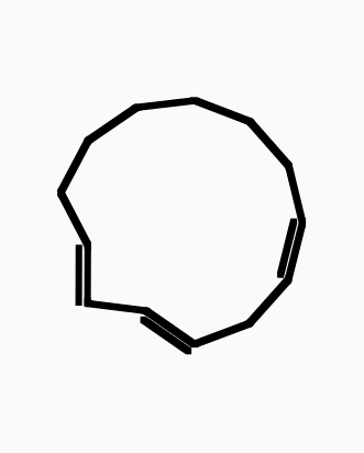 C1=C\CCCCCC/C=C/C=C/C/1